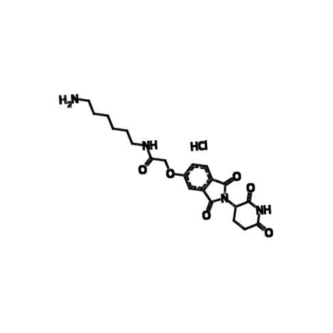 Cl.NCCCCCCNC(=O)COc1ccc2c(c1)C(=O)N(C1CCC(=O)NC1=O)C2=O